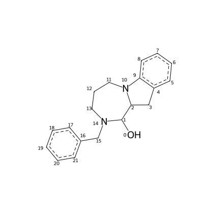 OC1C2Cc3ccccc3N2CCCN1Cc1ccccc1